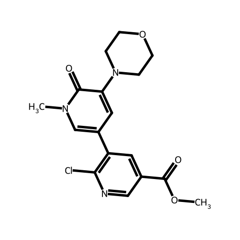 COC(=O)c1cnc(Cl)c(-c2cc(N3CCOCC3)c(=O)n(C)c2)c1